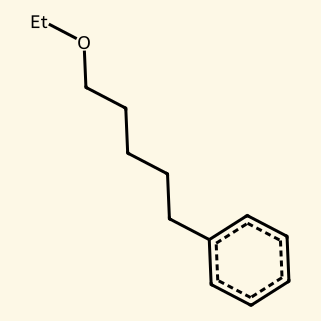 CCOCCCCCc1ccccc1